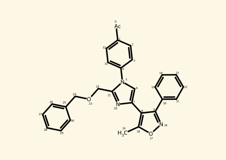 CC(=O)c1ccc(-n2cc(-c3c(-c4ccccc4)noc3C)nc2COCc2ccccc2)cc1